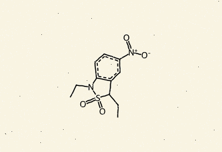 CCC1c2cc([N+](=O)[O-])ccc2N(CC)S1(=O)=O